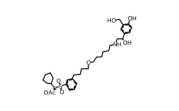 CC(=O)ON(C1CCCCC1)S(=O)(=O)c1cccc(CCCCOCCCCCCNCC(O)c2ccc(O)c(CO)c2)c1